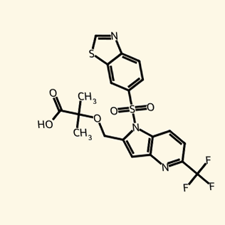 CC(C)(OCc1cc2nc(C(F)(F)F)ccc2n1S(=O)(=O)c1ccc2ncsc2c1)C(=O)O